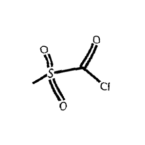 CS(=O)(=O)C(=O)Cl